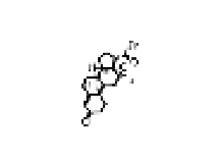 CC(C)C(=O)[C@H]1CC[C@H]2[C@@H]3CCC4=CC(=O)CCC4=C3CC[C@]12C